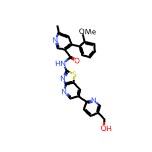 COc1ccccc1-c1cc(C)ncc1C(=O)Nc1nc2ncc(-c3ccc(CO)cn3)cc2s1